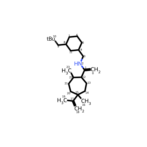 C=C(NCC1CCCC(CC(C)(C)C)C1)C1CCC(C)(C(=C)C)CCC1C